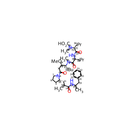 CC[C@H](C)[C@@H]([C@@H](CC(=O)N1CCC[C@H]1C[C@@H](C)C(=O)N[C@H](C)Cc1ccccc1)OC)N(C)C(=O)[C@@H](NC(=O)[C@H](C(C)C)N(C)C(=O)O)C(C)C